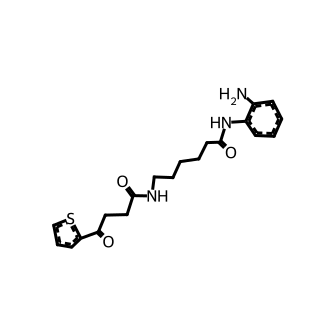 Nc1ccccc1NC(=O)CCCCCNC(=O)CCC(=O)c1cccs1